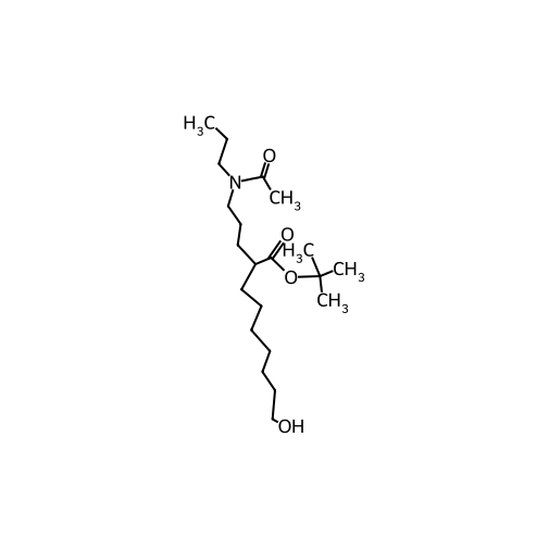 CCCN(CCCC(CCCCCCCO)C(=O)OC(C)(C)C)C(C)=O